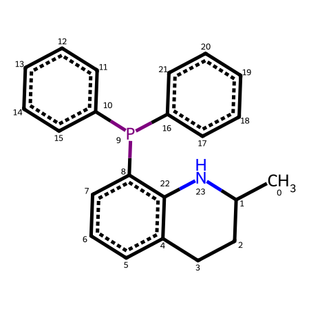 CC1CCc2cccc(P(c3ccccc3)c3ccccc3)c2N1